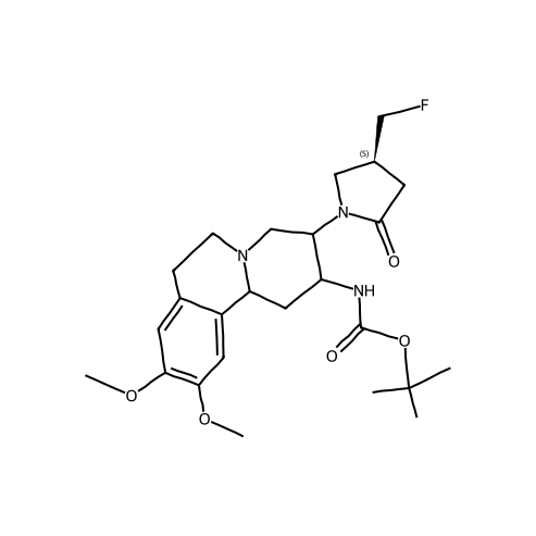 COc1cc2c(cc1OC)C1CC(NC(=O)OC(C)(C)C)C(N3C[C@@H](CF)CC3=O)CN1CC2